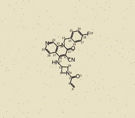 C=CC(=O)N1CC(Nc2c(C#N)c(=O)n(Cc3ccc(F)cc3)c3cnccc23)C1